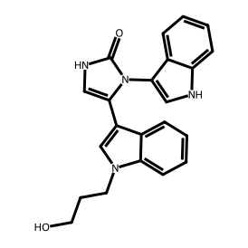 O=c1[nH]cc(-c2cn(CCCO)c3ccccc23)n1-c1c[nH]c2ccccc12